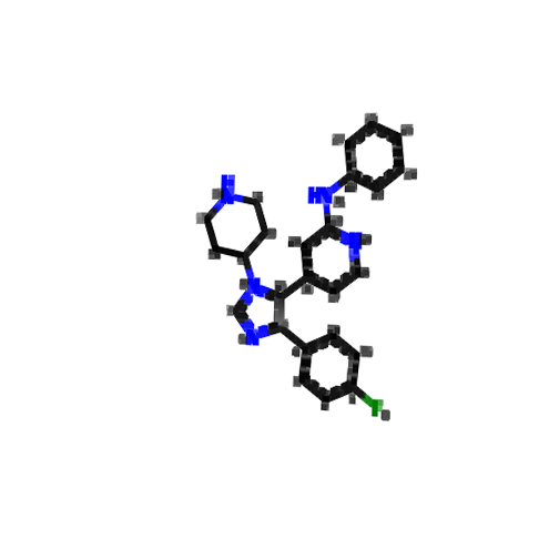 Fc1ccc(-c2ncn(C3CCNCC3)c2-c2ccnc(Nc3ccccc3)c2)cc1